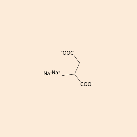 CC(CC(=O)[O-])C(=O)[O-].[Na+].[Na+]